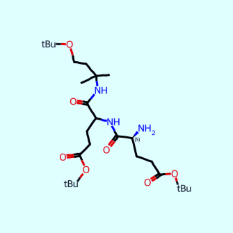 CC(C)(CCOC(C)(C)C)NC(=O)C(CCC(=O)OC(C)(C)C)NC(=O)[C@@H](N)CCC(=O)OC(C)(C)C